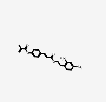 C=C(C)C(=O)Oc1ccc(/C=C/C(=O)OCCc2ccc([N+](=O)[O-])cc2[N+](=O)[O-])cc1